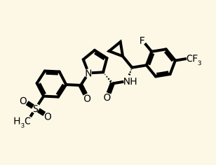 CS(=O)(=O)c1cccc(C(=O)N2CC=C[C@@H]2C(=O)N[C@@H](c2ccc(C(F)(F)F)cc2F)C2CC2)c1